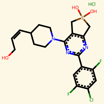 Cl.OC/C=C\C1CCN(c2nc(-c3cc(F)c(Cl)cc3F)nc3c2CS(O)(O)C3)CC1